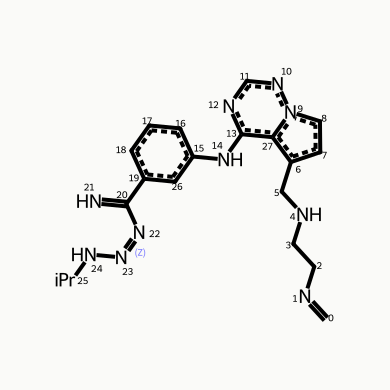 C=NCCNCc1ccn2ncnc(Nc3cccc(C(=N)/N=N\NC(C)C)c3)c12